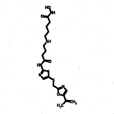 C=C(C)c1cnc(CSc2cnc(NC(=O)CCCNCCCCC(=O)NO)s2)o1